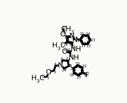 CCOCCN1C[C@@H](NC(=O)Nc2c(C)c(OC)nn2-c2ccccc2)[C@H](c2ccc(F)cc2)C1